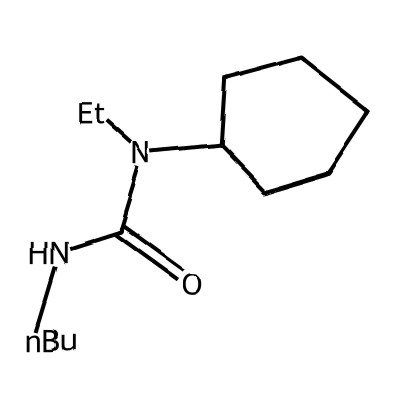 CCCCNC(=O)N(CC)C1CCCCC1